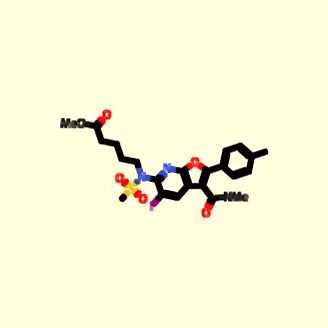 CNC(=O)c1c(-c2ccc(C)cc2)oc2nc(N(CCCCC(=O)OC)S(C)(=O)=O)c(I)cc12